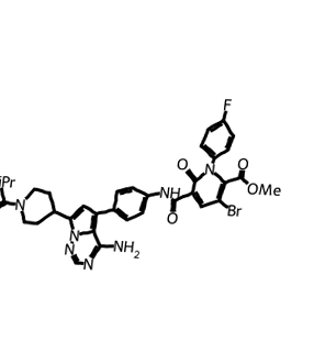 COC(=O)c1c(Br)cc(C(=O)Nc2ccc(-c3cc(C4CCN(C(=O)C(C)C)CC4)n4ncnc(N)c34)cc2)c(=O)n1-c1ccc(F)cc1